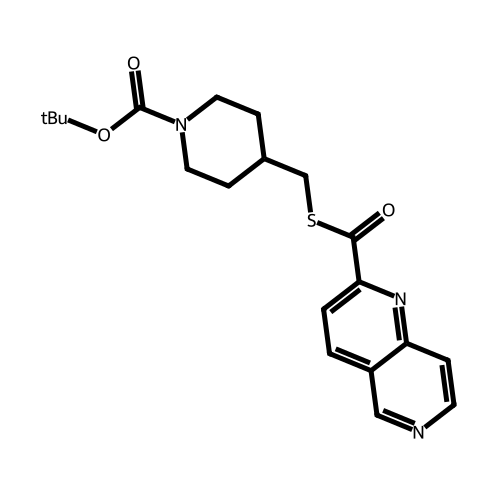 CC(C)(C)OC(=O)N1CCC(CSC(=O)c2ccc3cnccc3n2)CC1